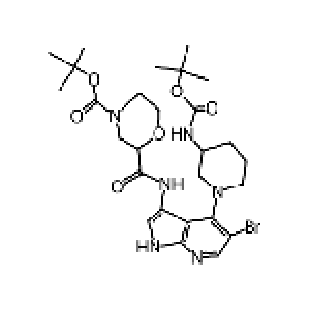 CC(C)(C)OC(=O)NC1CCCN(c2c(Br)cnc3[nH]cc(NC(=O)C4CN(C(=O)OC(C)(C)C)CCO4)c23)C1